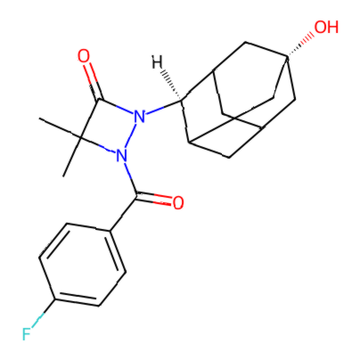 CC1(C)C(=O)N([C@H]2C3CC4CC2C[C@](O)(C4)C3)N1C(=O)c1ccc(F)cc1